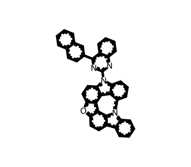 c1ccc2cc(-c3nc(-n4c5ccc6oc7ccc8c9ccccc9n9c%10cccc4c%10c5c6c7c89)nc4ccccc34)ccc2c1